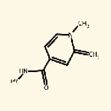 C=C1C=C(C(=O)NC(C)C)C=CN1C